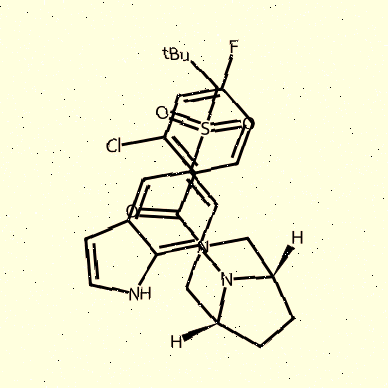 CC(C)(C)CS(=O)(=O)c1cc(N2[C@@H]3CC[C@H]2CN(C(=O)c2ccc(F)cc2Cl)C3)c2[nH]ccc2c1